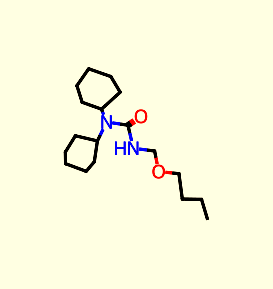 CCCCOCNC(=O)N(C1CCCCC1)C1CCCCC1